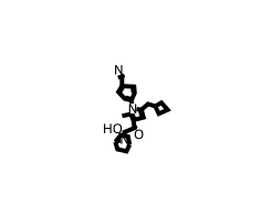 Cc1c(C(=O)CN2C3CCC2[C@@H](O)C3)cc(CC2CCC2)n1-c1ccc(C#N)cc1